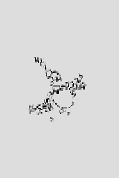 CCOc1ccc2c(O[C@@H]3C[C@H]4C(=O)N[C@]5(C(=O)NS(=O)(=O)C6CC6)C[C@H]5/C=C\CC[C@H](C)C[C@@H](C)[C@H](NC(=O)OC(C)(C)C)C(=O)N4C3)nccc2c1